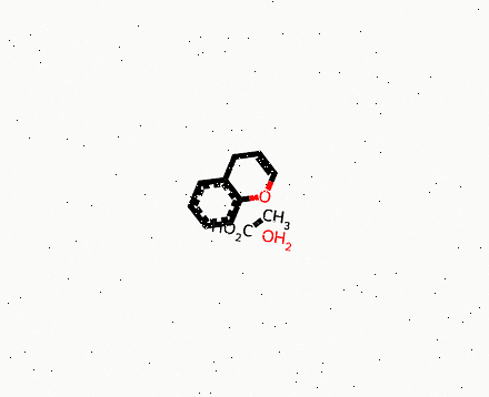 C1=COc2ccccc2C1.CC(=O)O.O